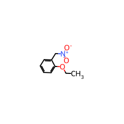 CCOc1ccccc1C[N+](=O)[O-]